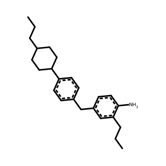 CCCc1cc(Cc2ccc(C3CCC(CCC)CC3)cc2)ccc1N